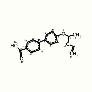 C=COC(C)Oc1ccc(-c2ccc(C(=O)O)cc2)cc1